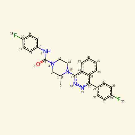 C[C@@H]1CN(C(=O)Nc2ccc(F)cc2)CCN1c1nnc(-c2ccc(F)cc2)c2ccccc12